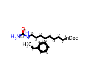 C=Cc1ccccc1.CCCCCCCCCCCCCCCCCCNC(N)=O